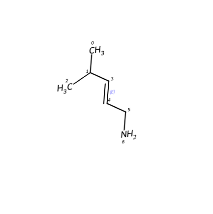 CC(C)/C=C/CN